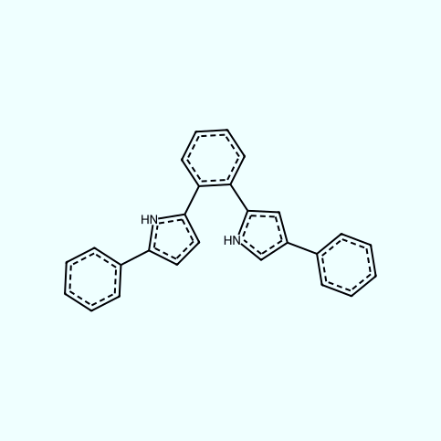 c1ccc(-c2c[nH]c(-c3ccccc3-c3ccc(-c4ccccc4)[nH]3)c2)cc1